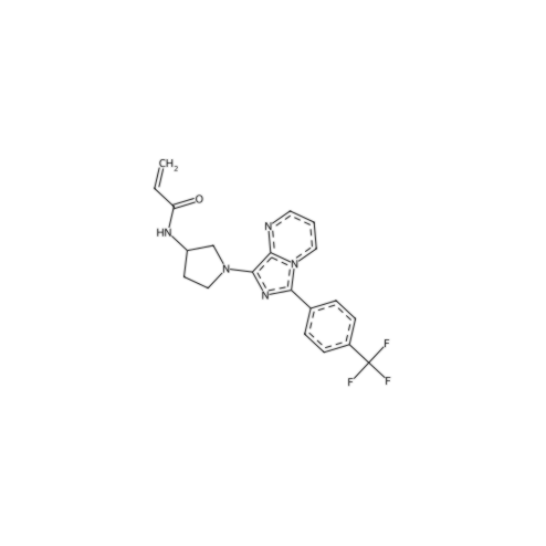 C=CC(=O)NC1CCN(c2nc(-c3ccc(C(F)(F)F)cc3)n3cccnc23)C1